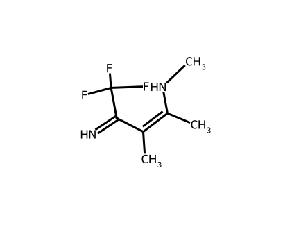 CN/C(C)=C(/C)C(=N)C(F)(F)F